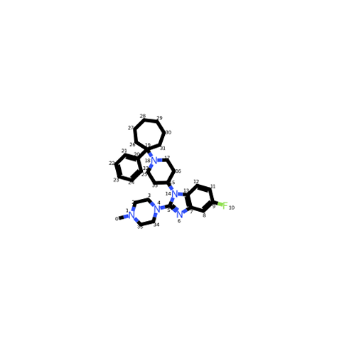 CN1CCN(c2nc3cc(F)ccc3n2C2CCN(C3(c4ccccc4)CCCCCC3)CC2)CC1